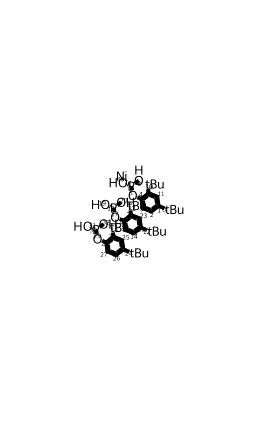 CC(C)(C)c1ccc(OP(O)O)c(C(C)(C)C)c1.CC(C)(C)c1ccc(OP(O)O)c(C(C)(C)C)c1.CC(C)(C)c1ccc(OP(O)O)c(C(C)(C)C)c1.[Ni]